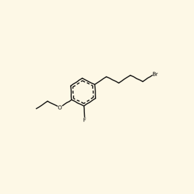 CCOc1ccc(CCCCBr)cc1F